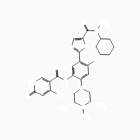 C[C@@H]1CN(c2cc(F)c(-c3ncc(C(=O)N(C)C4CCCCC4)s3)cc2NC(=O)c2c[nH]c(=O)cc2C(F)(F)F)C[C@H](C)N1C